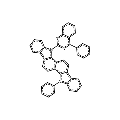 c1ccc(-c2nc(-n3c4ccccc4c4ccc5c(ccc6c7ccccc7n(-c7ccccc7)c65)c43)nc3ccccc23)cc1